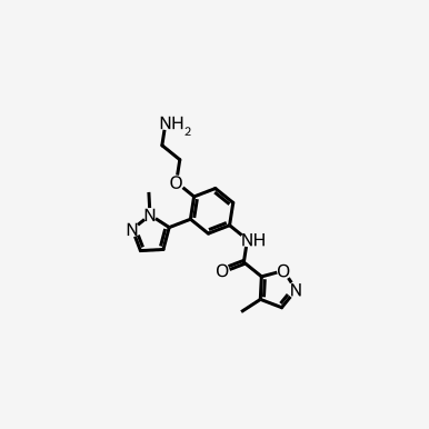 Cc1cnoc1C(=O)Nc1ccc(OCCN)c(-c2ccnn2C)c1